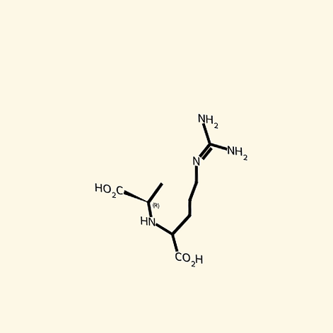 C[C@@H](NC(CCCN=C(N)N)C(=O)O)C(=O)O